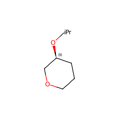 CC(C)O[C@H]1CCCOC1